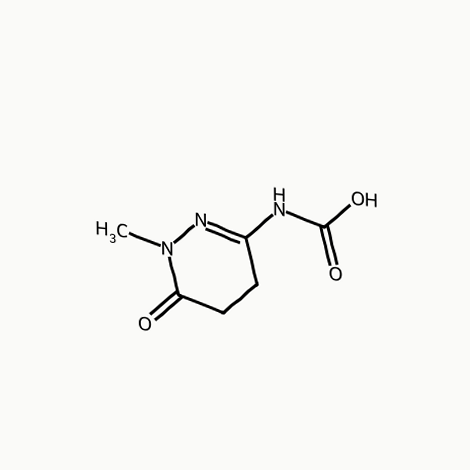 CN1N=C(NC(=O)O)CCC1=O